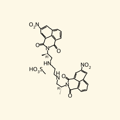 CS(=O)(=O)O.C[C@H](CNCCNC[C@@H](C)N1C(=O)c2cccc3cc([N+](=O)[O-])cc(c23)C1=O)N1C(=O)c2cccc3cc([N+](=O)[O-])cc(c23)C1=O